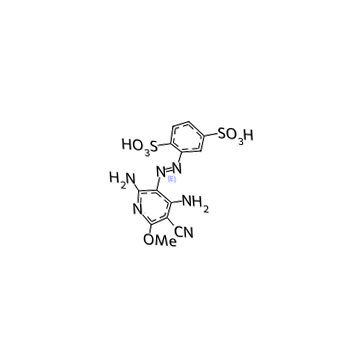 COc1nc(N)c(/N=N/c2cc(S(=O)(=O)O)ccc2S(=O)(=O)O)c(N)c1C#N